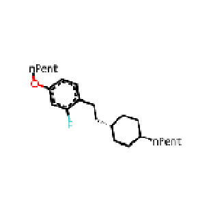 CCCCCOc1ccc(CC[C@H]2CC[C@H](CCCCC)CC2)c(F)c1